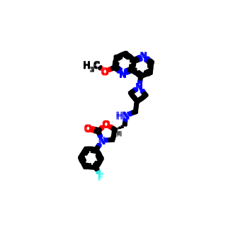 COc1ccc2nccc(N3CC(CNC[C@@H]4CN(c5cccc(F)c5)C(=O)O4)C3)c2n1